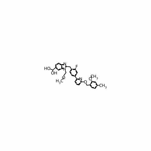 COCCn1c(Cc2ccc(-c3cccc(OCc4ccc(C)cc4OC)n3)cc2F)nc2ccc(C(O)O)cc21